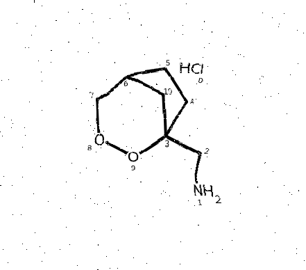 Cl.NCC12CCC(COO1)C2